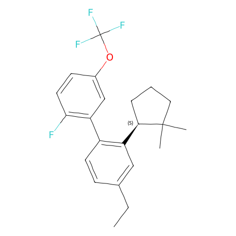 CCc1ccc(-c2cc(OC(F)(F)F)ccc2F)c([C@H]2CCCC2(C)C)c1